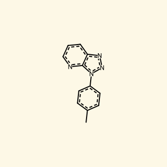 Cc1ccc(-n2nnc3cccnc32)cc1